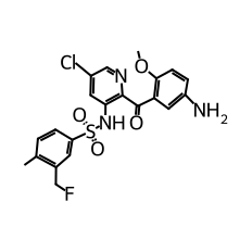 COc1ccc(N)cc1C(=O)c1ncc(Cl)cc1NS(=O)(=O)c1ccc(C)c(CF)c1